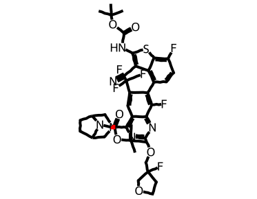 CC(C)(C)OC(=O)Nc1sc2c(F)ccc(-c3c(C(F)(F)F)cc4c(N5CC6CCC(C5)N6C(=O)OC(C)(C)C)nc(OCC5(F)CCOC5)nc4c3F)c2c1C#N